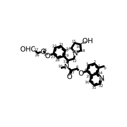 Cc1ccc(OCC(=O)N(C)C(CN2CC[C@H](O)C2)c2cccc(OOCC=O)c2)c2cccnc12